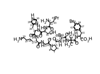 CCCC[C@H](NC(=O)[C@@H]1CCCN1C(=O)CNC(=O)[C@H](CCCCN)NC(=O)[C@H](Cc1c[nH]cn1)NC(=O)[C@H](CO)NC(=O)[C@@H](N)CC(C)C)C(=O)NC(C)(C)C(=O)N[C@@H](Cc1ccc(Br)cc1)C(=O)O